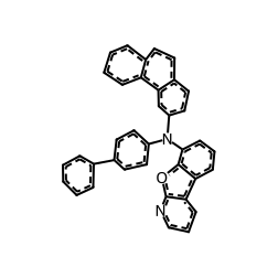 c1ccc(-c2ccc(N(c3ccc4ccc5ccccc5c4c3)c3cccc4c3oc3ncccc34)cc2)cc1